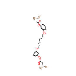 O=C(CC(Br)Br)Oc1cccc(OCCCCCCCCOc2cccc(OC(=O)CC(Br)Br)c2)c1